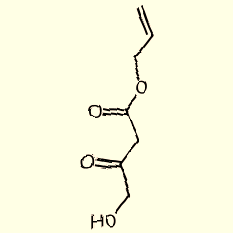 C=CCOC(=O)CC(=O)CO